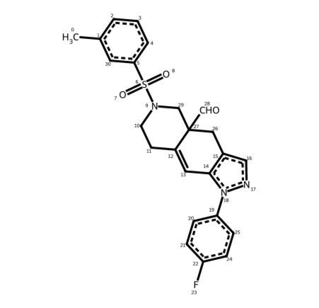 Cc1cccc(S(=O)(=O)N2CCC3=Cc4c(cnn4-c4ccc(F)cc4)CC3(C=O)C2)c1